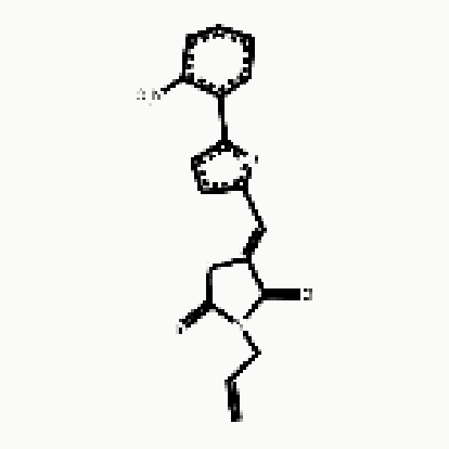 C=CCN1C(=O)/C(=C/c2ccc(-c3ccccc3[N+](=O)[O-])o2)SC1=S